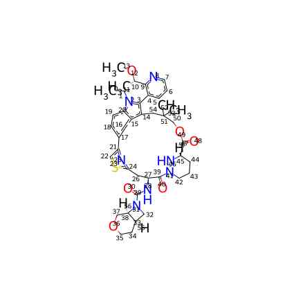 CCn1c(-c2cccnc2[C@H](C)OC)c2c3cc(ccc31)-c1csc(n1)C[C@H](NC(=O)N1C[C@H]3CCOC[C@H]31)C(=O)N1CCC[C@H](N1)C(=O)OCC(C)(C)C2